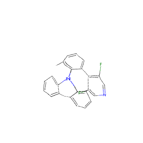 Cc1cccc(-c2c(F)cncc2F)c1-n1c2ccccc2c2ccccc21